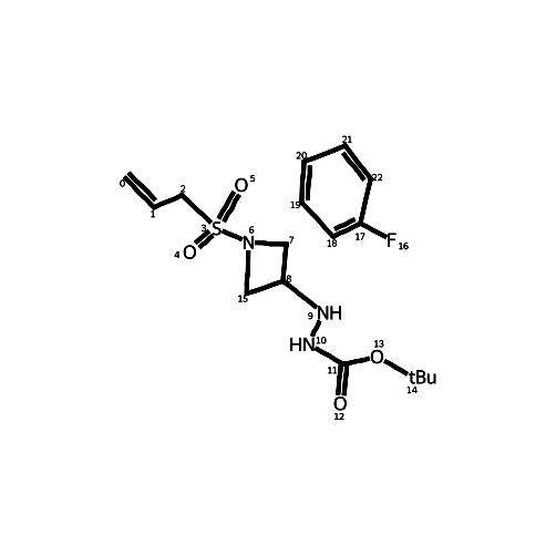 C=CCS(=O)(=O)N1CC(NNC(=O)OC(C)(C)C)C1.Fc1ccccc1